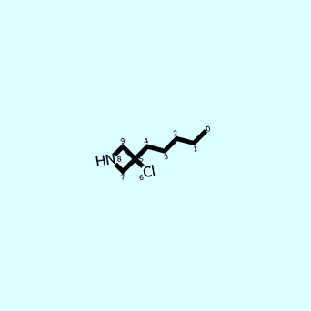 CCCCCC1(Cl)CNC1